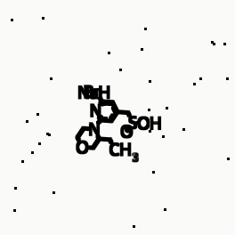 CCC1COCCN1c1cc(C[S@@](=O)O)cc(Br)n1.[NaH]